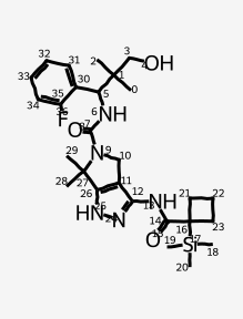 CC(C)(CO)C(NC(=O)N1Cc2c(NC(=O)C3([Si](C)(C)C)CCC3)n[nH]c2C1(C)C)c1ccccc1F